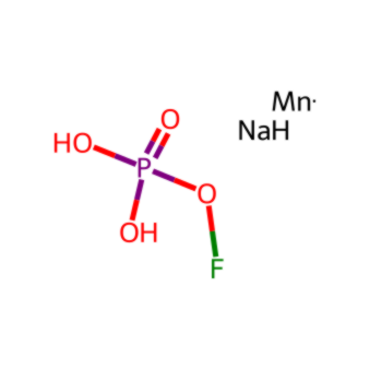 O=P(O)(O)OF.[Mn].[NaH]